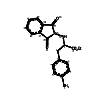 CCOC(=O)C(Cc1ccc(N)cc1)NN1C(=O)c2ccccc2C1=O